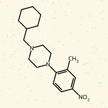 Cc1cc([N+](=O)[O-])ccc1N1CCN(CC2CCCCC2)CC1